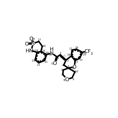 O=C(/C=C1\CC2(CCOCC2)Oc2cc(C(F)(F)F)ccc21)Nc1cccc2c1CCS(=O)(=O)N2